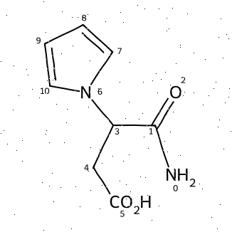 NC(=O)C(CC(=O)O)n1cccc1